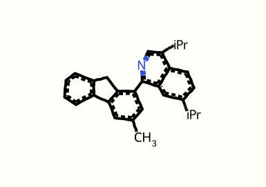 Cc1cc2c(c(-c3ncc(C(C)C)c4ccc(C(C)C)cc34)c1)Cc1ccccc1-2